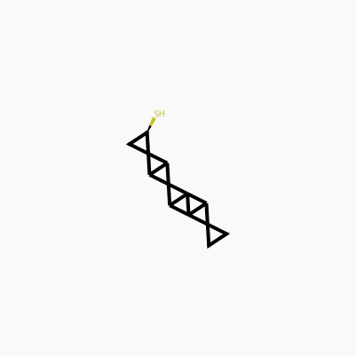 S[C@@H]1CC12C1C2C12C1C34C(C35CC5)C124